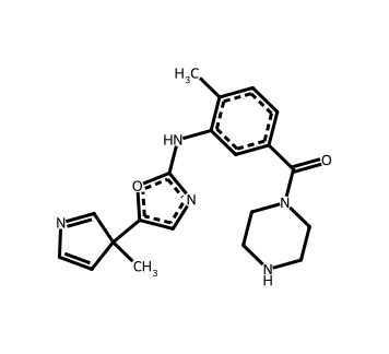 Cc1ccc(C(=O)N2CCNCC2)cc1Nc1ncc(C2(C)C=CN=C2)o1